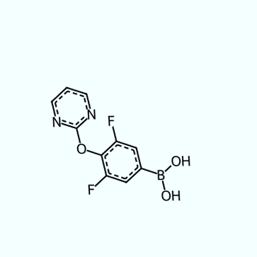 OB(O)c1cc(F)c(Oc2ncccn2)c(F)c1